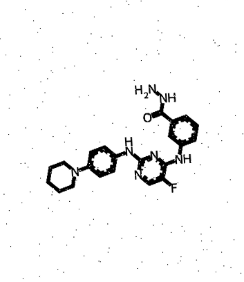 NNC(=O)c1cccc(Nc2nc(Nc3ccc(N4CCCCC4)cc3)ncc2F)c1